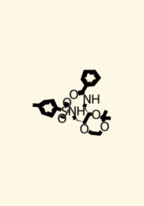 Cc1ccc(S(=O)(=O)NC[C@H]2OCCOC(C)(C)O[C@H]2CNC(=O)c2ccccc2)cc1